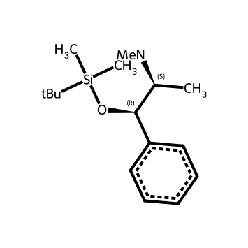 CN[C@@H](C)[C@H](O[Si](C)(C)C(C)(C)C)c1ccccc1